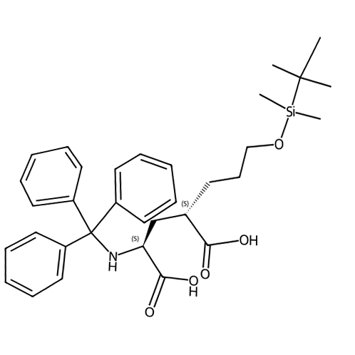 CC(C)(C)[Si](C)(C)OCCC[C@@H](C[C@H](NC(c1ccccc1)(c1ccccc1)c1ccccc1)C(=O)O)C(=O)O